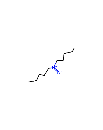 CCCCC[N+](=[N-])CCCCC